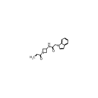 C=CC(=O)N1CC(NC(=O)Cn2ccc3ccccc32)C1